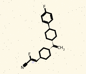 C=C([C@H]1CC[C@H](/C=C(\F)C#N)CC1)[C@H]1CC[C@H](c2ccc(F)cc2)CC1